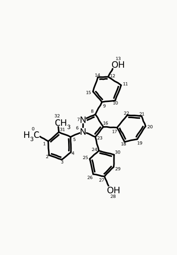 Cc1cccc(-n2nc(-c3ccc(O)cc3)c(-c3ccccc3)c2-c2ccc(O)cc2)c1C